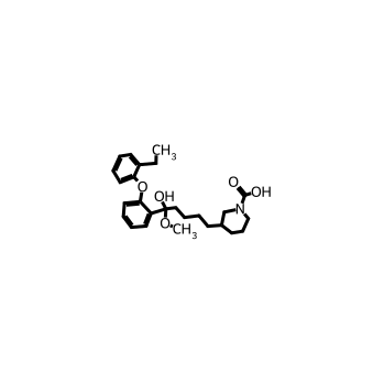 CCc1ccccc1Oc1ccccc1C(O)(CCCCC1CCCN(C(=O)O)C1)OC